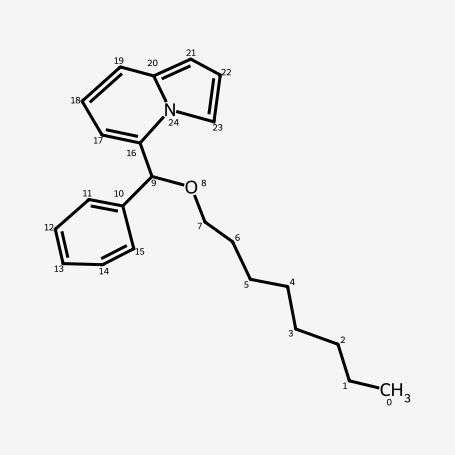 CCCCCCCCOC(c1ccccc1)c1cccc2cccn12